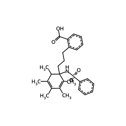 CC1=C(C)C(C)C(CCCc2ccccc2C(=O)O)(NS(=O)(=O)c2ccccc2)C(C)=C1C